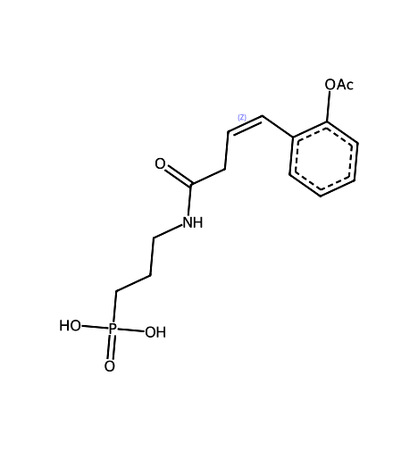 CC(=O)Oc1ccccc1/C=C\CC(=O)NCCCP(=O)(O)O